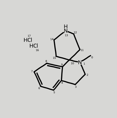 CN1CCc2ccccc2C12CCNCC2.Cl.Cl